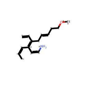 C=C/C(C/C=C/CCOCC)=C(\C=C/C)/C=C\N